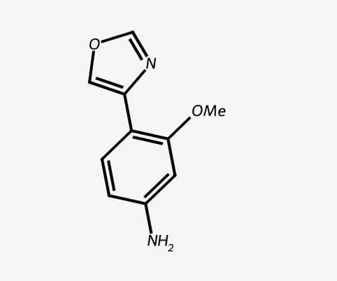 COc1cc(N)ccc1-c1cocn1